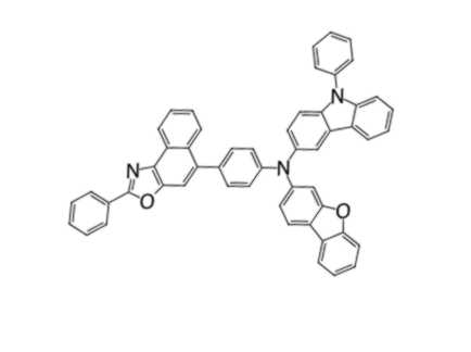 c1ccc(-c2nc3c(cc(-c4ccc(N(c5ccc6c(c5)oc5ccccc56)c5ccc6c(c5)c5ccccc5n6-c5ccccc5)cc4)c4ccccc43)o2)cc1